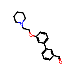 O=Cc1cccc(-c2cccc(OCCN3CCCCC3)c2)c1